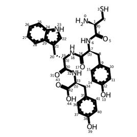 N[C@@H](CS)C(=O)N[C@@H](Cc1ccc(O)cc1)C(=O)N[C@@H](Cc1c[nH]c2ccccc12)C(=O)N[C@@H](Cc1ccc(O)cc1)C(=O)O